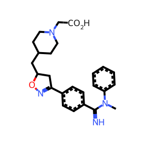 CN(C(=N)c1ccc(C2=NOC(CC3CCN(CC(=O)O)CC3)C2)cc1)c1ccccc1